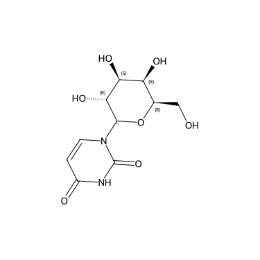 O=c1ccn([C]2O[C@H](CO)[C@H](O)[C@H](O)[C@H]2O)c(=O)[nH]1